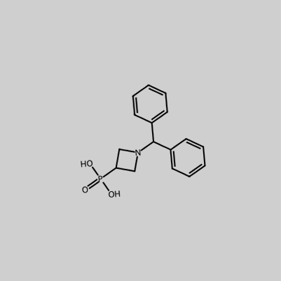 O=P(O)(O)C1CN(C(c2ccccc2)c2ccccc2)C1